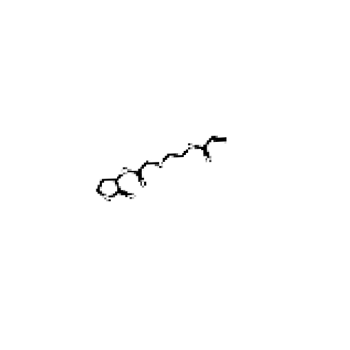 C=CC(=O)OCCOCC(=O)OC1CCOC1=O